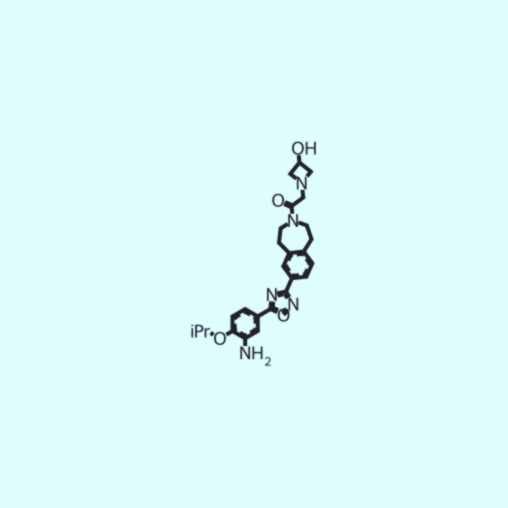 CC(C)Oc1ccc(-c2nc(-c3ccc4c(c3)CCN(C(=O)CN3CC(O)C3)CC4)no2)cc1N